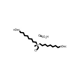 CCCCCCCCCCCCCCCCCC[N+](C)(CCl)CCCCCCCCCCCCCCCCCC.O=S(=O)([O-])O